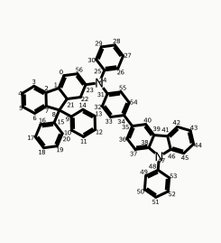 C1=C2c3ccccc3C(c3ccccc3)(c3ccccc3)C2CC(N(c2ccccc2)c2ccc(-c3ccc4c(c3)c3ccccc3n4-c3ccccc3)cc2)=C1